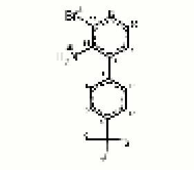 CC(C)(C)c1ccc(-c2cccc(Br)c2N)cc1